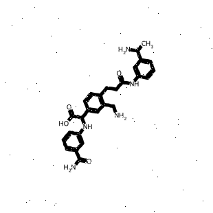 CC(N)c1cccc(NC(=O)CCc2ccc(C(Nc3cccc(C(N)=O)c3)C(=O)O)cc2CN)c1